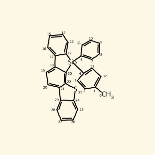 Cc1ccc([Si]2(c3ccccc3)c3ccccc3-c3ccc4c(sc5ccccc54)c32)cc1